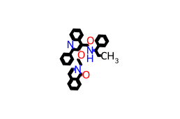 CCC(NC(=O)c1c(OCCn2ccc3ccccc3c2=O)c(-c2ccccc2)nc2ccccc12)c1ccccc1